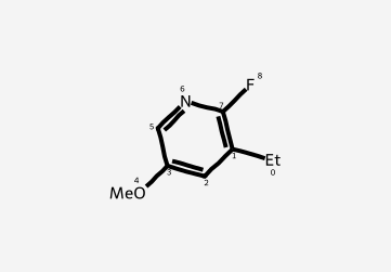 CCc1cc(OC)cnc1F